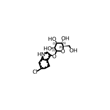 OC[C@H]1OC(Oc2c[nH]c3cc(Cl)ccc23)[C@@H](O)[C@@H](O)[C@@H]1O